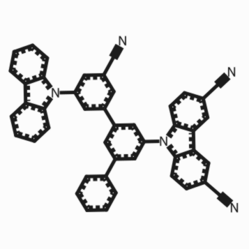 N#Cc1cc(-c2cc(-c3ccccc3)cc(-n3c4ccc(C#N)cc4c4cc(C#N)ccc43)c2)cc(-n2c3ccccc3c3ccccc32)c1